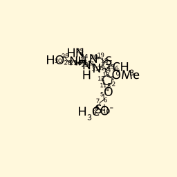 COc1cc(OCCC[S+](C)[O-])ccc1-c1c(C)sc2cnc(N/C(C=N)=C/NCCO)nc12